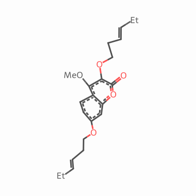 CCC=CCCOc1ccc2c(OC)c(OCCC=CCC)c(=O)oc2c1